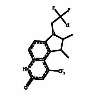 CC1c2c(ccc3[nH]c(=O)cc(C(F)(F)F)c23)N(CC(F)(F)Cl)C1C